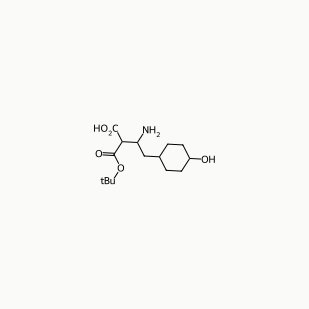 CC(C)(C)OC(=O)C(C(=O)O)C(N)CC1CCC(O)CC1